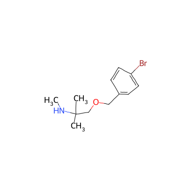 CNC(C)(C)COCc1ccc(Br)cc1